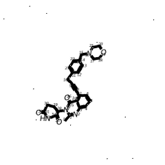 Cc1nc2cccc(C#CCc3ccc(CN4CCOCC4)cc3)c2c(=O)n1C1CCC(=O)NC1=O